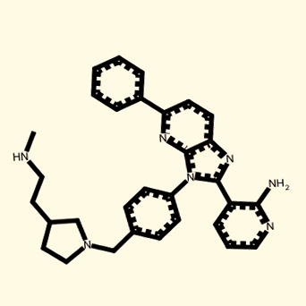 CNCCC1CCN(Cc2ccc(-n3c(-c4cccnc4N)nc4ccc(-c5ccccc5)nc43)cc2)C1